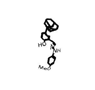 COc1ccc(NN=Cc2cc(C34CC5CC(CC(C5)C3)C4)ccc2O)cc1